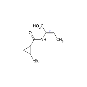 C/C=C(\NC(=O)C1CC1C(C)(C)C)C(=O)O